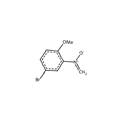 C=[N+]([O-])c1cc(Br)ccc1OC